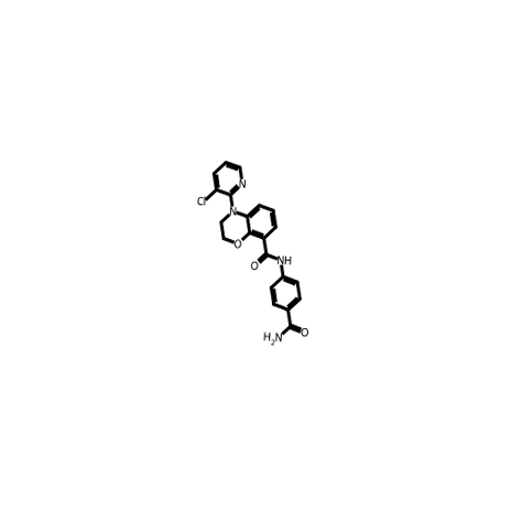 NC(=O)c1ccc(NC(=O)c2cccc3c2OCCN3c2ncccc2Cl)cc1